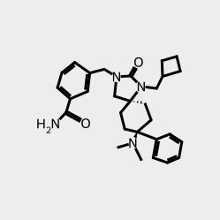 CN(C)[C@]1(c2ccccc2)CC[C@]2(CC1)CN(Cc1cccc(C(N)=O)c1)C(=O)N2CC1CCC1